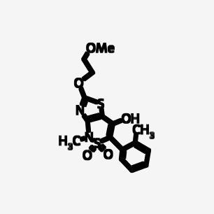 COCCOc1nc2c(s1)C(O)=C(c1ccccc1C)S(=O)(=O)N2C